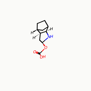 O=C(O)O[C@H]1C[C@H]2[C@@H]3CCC(C3)[C@H]2N1